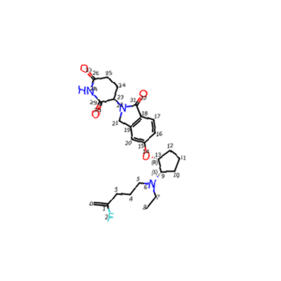 C=C(F)CCCN(CC)[C@H]1CCC[C@H]1Oc1ccc2c(c1)CN(C1CCC(=O)NC1=O)C2=O